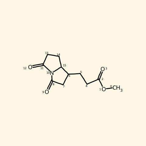 COC(=O)CCC1CC(=O)N2C(=O)CCC12